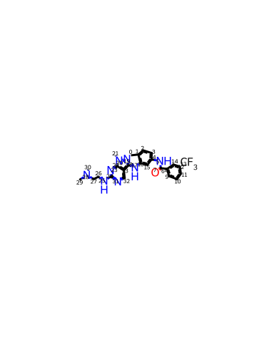 Cc1ccc(NC(=O)c2cccc(C(F)(F)F)c2)cc1Nc1nn(C)c2nc(NCCN(C)C)ncc12